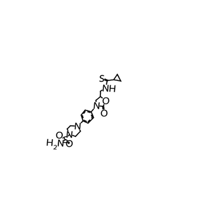 NS(=O)(=O)N1CCN(c2ccc(N3CC(CNC(=S)C4CC4)OC3=O)cc2)CC1